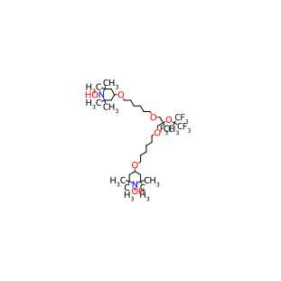 CC(COCCCCCCOC1CC(C)(C)N(O)C(C)(C)C1)(COCCCCCCOC1CC(C)(C)N(O)C(C)(C)C1)OC(C(F)(F)F)(C(F)(F)F)C(F)(F)F